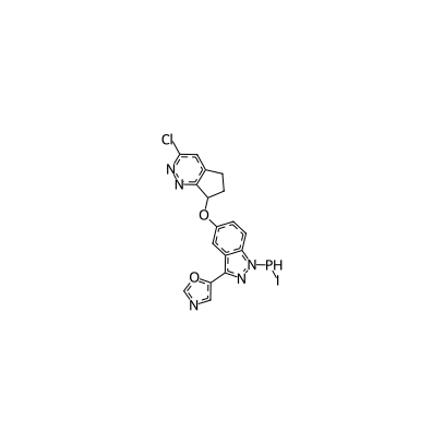 Clc1cc2c(nn1)C(Oc1ccc3c(c1)c(-c1cnco1)nn3PI)CC2